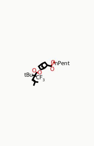 CCCCCOC(=O)C1CC2CC(OC(=O)C(C=C(C)C)(C(C)(C)C)C(F)(F)F)C1C2